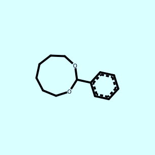 c1ccc(C2OCCCCCCO2)cc1